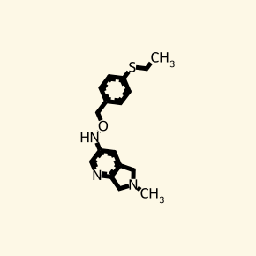 CCSc1ccc(CONc2cnc3c(c2)CN(C)C3)cc1